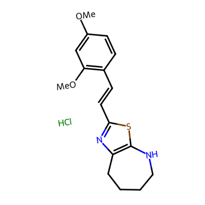 COc1ccc(C=Cc2nc3c(s2)NCCCC3)c(OC)c1.Cl